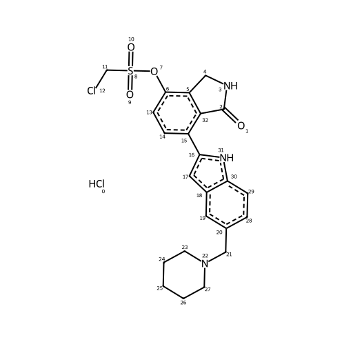 Cl.O=C1NCc2c(OS(=O)(=O)CCl)ccc(-c3cc4cc(CN5CCCCC5)ccc4[nH]3)c21